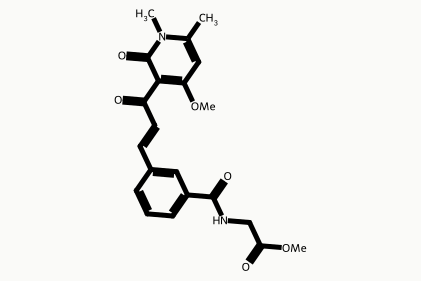 COC(=O)CNC(=O)c1cccc(/C=C/C(=O)c2c(OC)cc(C)n(C)c2=O)c1